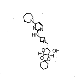 O[C@@H]1[C@H]2OC3(CCCCC3)O[C@H]2O[C@@H]1CN1CC(Nc2nccc(N3CCCCCC3)n2)C1